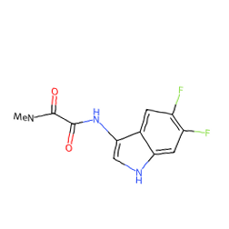 CNC(=O)C(=O)Nc1c[nH]c2cc(F)c(F)cc12